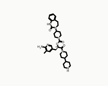 Cc1cc(C[C@@H](OC(=O)N2CCC(N3CCc4ccccc4NC3=O)CC2)C(=O)N2CCC(C3CCNCC3)CC2)cnc1N